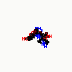 CC(C)C[C@H](NC(=O)[C@@H]1CCCN1)C(=O)N[C@@H](CCC(=O)O)C(=O)N[C@@H](CC(N)=O)C(=O)N[C@@H](Cc1ccc(O)cc1)C(=O)O